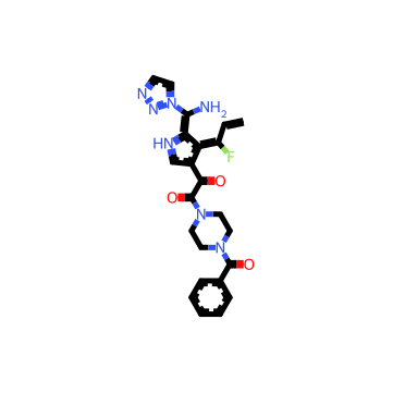 C=C/C(F)=c1/c(C(=O)C(=O)N2CCN(C(=O)c3ccccc3)CC2)c[nH]/c1=C(/N)n1ccnn1